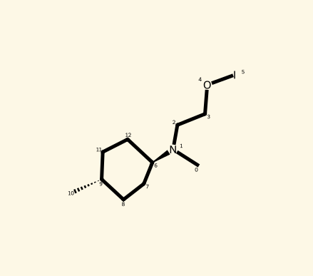 CN(CCOI)[C@H]1CC[C@H](C)CC1